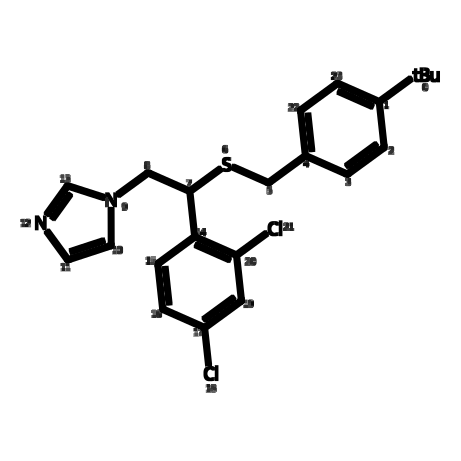 CC(C)(C)c1ccc(CSC(Cn2ccnc2)c2ccc(Cl)cc2Cl)cc1